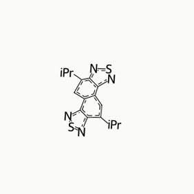 CC(C)c1cc2c(cc(C(C)C)c3nsnc32)c2nsnc12